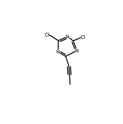 CC#Cc1nc(Cl)nc(Cl)n1